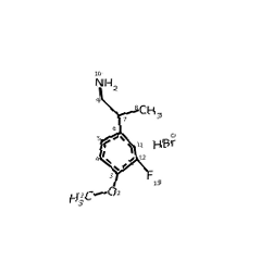 Br.COc1ccc(C(C)CN)cc1F